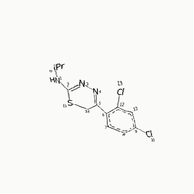 CC(C)NC1=NN=C(c2ccc(Cl)cc2Cl)CS1